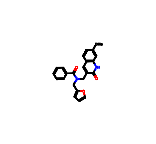 COc1ccc2cc(CN(Cc3ccco3)C(=O)c3ccccc3)c(=O)[nH]c2c1